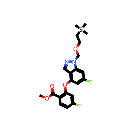 COC(=O)c1ccc(F)cc1Oc1cc(F)cc2c1cnn2COCC[Si](C)(C)C